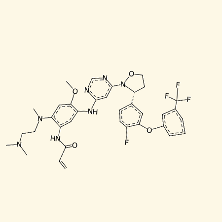 C=CC(=O)Nc1cc(Nc2cc(N3OCC[C@@H]3c3ccc(F)c(Oc4cccc(C(F)(F)F)c4)c3)ncn2)c(OC)cc1N(C)CCN(C)C